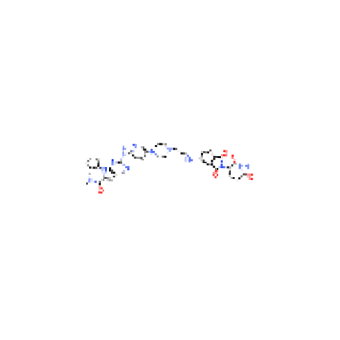 CN(C)C(=O)c1cc2cnc(Nc3ccc(N4CCN(CCCNc5ccc6c(c5)C(=O)N(C5CCC(=O)NC5=O)C6=O)CC4)cn3)nc2n1C1CCCC1